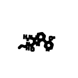 CCCNC(=O)c1nc2c(-c3cnccc3OC)cccn2c1N